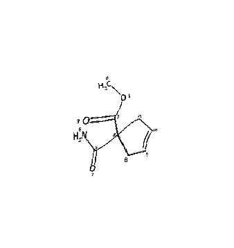 COC(=O)C1(C(N)=O)CC=CC1